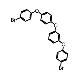 Brc1ccc(Oc2ccc(Oc3cccc(Oc4ccc(Br)cc4)c3)cc2)cc1